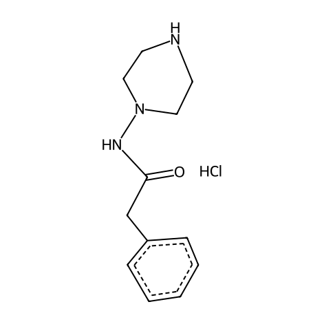 Cl.O=C(Cc1ccccc1)NN1CCNCC1